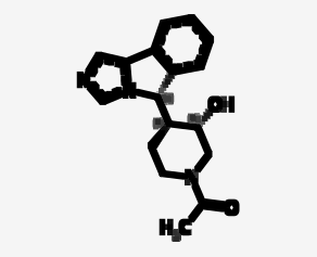 CC(=O)N1CC[C@@H]([C@H]2c3ccccc3-c3cncn32)[C@H](O)C1